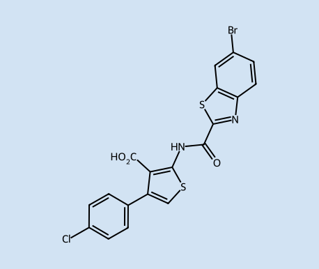 O=C(Nc1scc(-c2ccc(Cl)cc2)c1C(=O)O)c1nc2ccc(Br)cc2s1